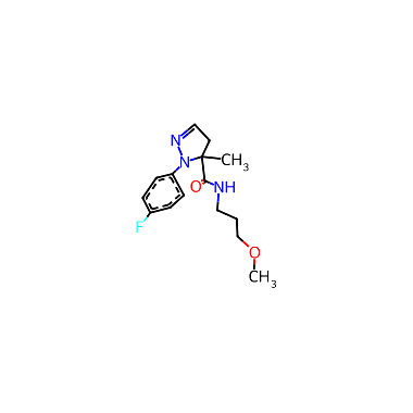 COCCCNC(=O)C1(C)CC=NN1c1ccc(F)cc1